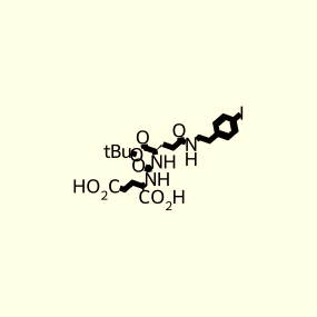 CC(C)(C)OC(=O)[C@H](CCC(=O)NCCc1ccc(I)cc1)NC(=O)N[C@@H](CCC(=O)O)C(=O)O